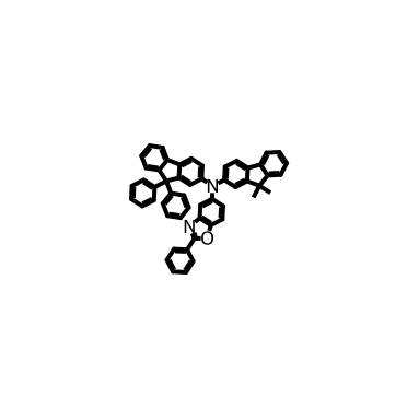 CC1(C)c2ccccc2-c2ccc(N(c3ccc4c(c3)C(c3ccccc3)(c3ccccc3)c3ccccc3-4)c3ccc4oc(-c5ccccc5)nc4c3)cc21